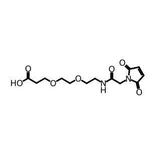 O=C(O)CCOCCOCCNC(=O)CN1C(=O)C=CC1=O